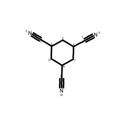 N#CC1CC(C#N)CC(C#N)C1